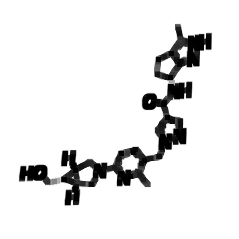 Cc1nc(N2C[C@@H]3[C@H](CO)[C@@H]3C2)ccc1Cn1cc(C(=O)N[C@@H]2CCc3c2n[nH]c3C)cn1